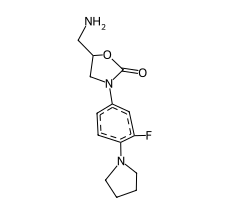 NCC1CN(c2ccc(N3CCCC3)c(F)c2)C(=O)O1